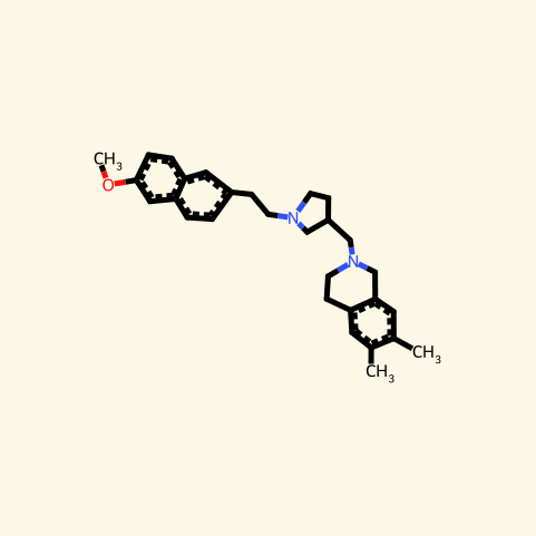 COc1ccc2cc(CCN3CCC(CN4CCc5cc(C)c(C)cc5C4)C3)ccc2c1